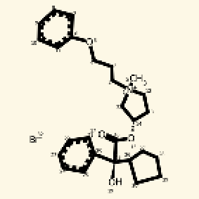 C[N+]1(CCCOc2ccccc2)CC[C@H](OC(=O)[C@@](O)(c2ccccc2)C2CCCC2)C1.[Br-]